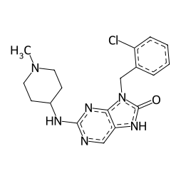 CN1CCC(Nc2ncc3[nH]c(=O)n(Cc4ccccc4Cl)c3n2)CC1